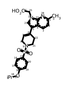 Cc1ccc2c(C3=CCN(S(=O)(=O)c4ccc(OC(C)C)cc4)CC3)cn(CC(=O)O)c2n1